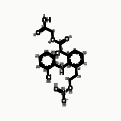 O=C(O)COC(=O)Cc1cccc(CCO[N+](=O)[O-])c1Nc1c(Cl)cccc1Cl